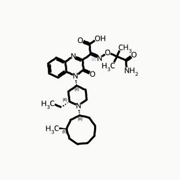 CC[C@@H]1C[C@H](n2c(=O)c(/C(=N/OC(C)(C)C(N)=O)C(=O)O)nc3ccccc32)CCN1[C@@H]1CCCCCC[C@@H](C)C1